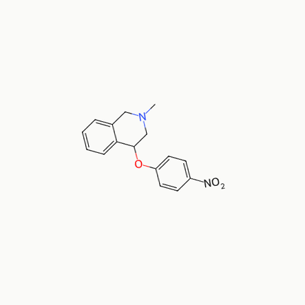 CN1Cc2ccccc2C(Oc2ccc([N+](=O)[O-])cc2)C1